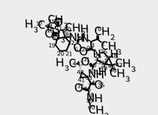 C=C(C)[C@H](NC(=O)NC1([C@@H](C)S(=O)(=O)C(C)(C)C)CCCCC1)C(=O)N1C[C@H]2[C@@H]([C@H]1C(=O)N[C@]1(C(=O)C(=O)NCC)C[C@@H]1CC)C2(C)C